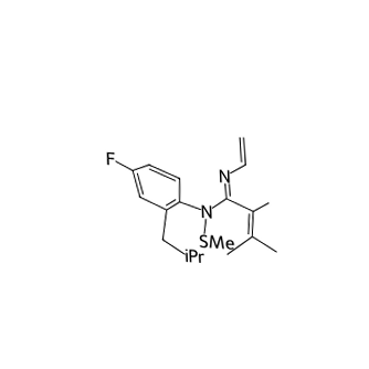 C=C/N=C(\C(C)=C(C)C)N(SC)c1ccc(F)cc1CC(C)C